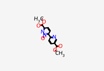 COC(=O)c1ccc(-c2ccc(C(=O)OC)n[n+]2[O-])nc1